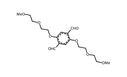 COCCOCCOc1cc(C=O)c(OCCOCCOC)cc1C=O